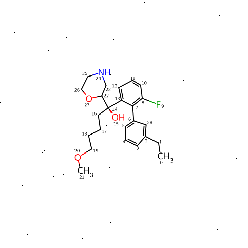 CCc1cccc(-c2c(F)cccc2[C@](O)(CCCCOC)C2CNCCO2)c1